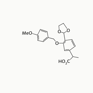 COc1ccc(COc2cc(C(C)C(=O)O)ccc2C2OCCO2)cc1